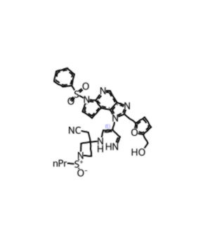 CCC[S+]([O-])N1CC(CC#N)(N/C=C(\C=N)n2c(-c3ccc(CO)o3)nc3cnc4c(ccn4S(=O)(=O)c4ccccc4)c32)C1